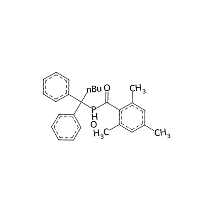 CCCCC(c1ccccc1)(c1ccccc1)[PH](=O)C(=O)c1c(C)cc(C)cc1C